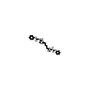 O=C(Nc1nnc(CCCCc2nnc(NC(=O)Oc3ccccc3)s2)s1)Oc1ccccc1